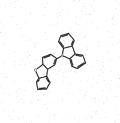 C1=CC2Oc3ccccc3C2C=C1n1c2ccccc2c2ccccc21